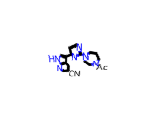 CC(=O)N1CCCN(c2nccc(-c3c[nH]c4ncc(C#N)cc34)n2)CC1